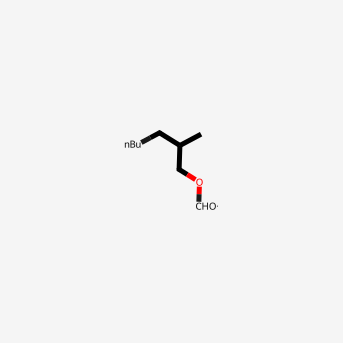 CCCCCC(C)CO[C]=O